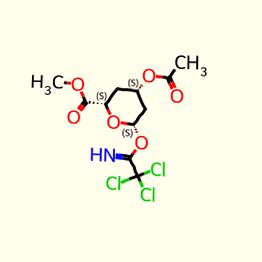 COC(=O)[C@@H]1C[C@H](OC(C)=O)C[C@H](OC(=N)C(Cl)(Cl)Cl)O1